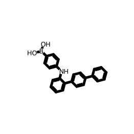 OB(O)c1ccc(Nc2ccccc2-c2ccc(-c3ccccc3)cc2)cc1